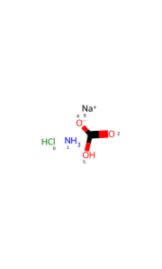 Cl.N.O=C([O-])O.[Na+]